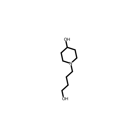 OCCCCN1CCC(O)CC1